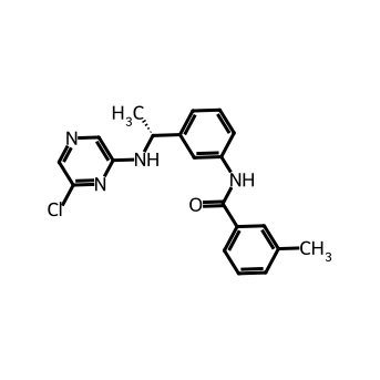 Cc1cccc(C(=O)Nc2cccc([C@@H](C)Nc3cncc(Cl)n3)c2)c1